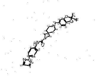 O=C(Nc1ccc(-n2nccn2)nc1)N1CC2(CCN(Cc3ccc4c(c3)OC(F)(F)O4)CC2)C1